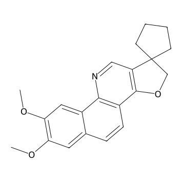 COc1cc2ccc3c4c(cnc3c2cc1OC)C1(CCCC1)CO4